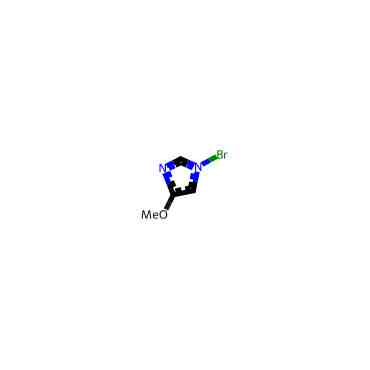 COc1cn(Br)cn1